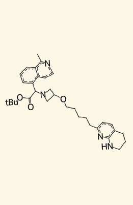 Cc1nccc2c(C(C(=O)OC(C)(C)C)N3CC(OCCCCCc4ccc5c(n4)NCCC5)C3)cccc12